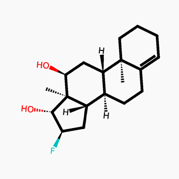 C[C@]12[C@@H](O)C[C@H]3[C@@H](CCC4=CCCC[C@@]43C)[C@@H]1C[C@@H](F)[C@@H]2O